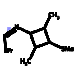 CCC/C=N\C1C(C)C(SC)C1C